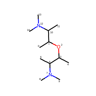 CC(OC(C)C(C)N(C)C)C(C)N(C)C